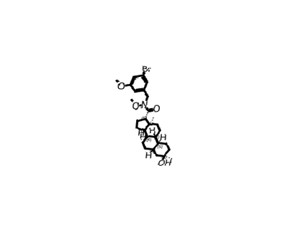 COc1cc(Br)cc(CN(OC)C(=O)[C@H]2CC[C@H]3[C@@H]4CC[C@H]5C[C@](C)(O)CC[C@@H]5[C@H]4CC[C@]23C)c1